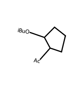 CC(=O)C1CCCC1OCC(C)C